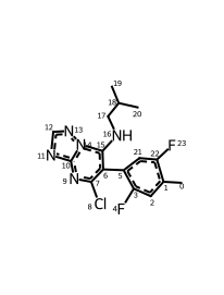 Cc1cc(F)c(-c2c(Cl)nc3ncnn3c2NCC(C)C)cc1F